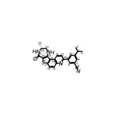 CC(C)c1cc(C#N)cc(-c2ccc3c(ccc4sc5c(c43)NC[C@@H](C)NC5=O)n2)c1